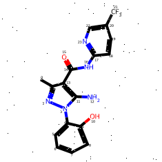 Cc1nn(-c2ccccc2O)c(N)c1C(=O)Nc1ccc(C(F)(F)F)cn1